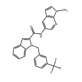 Cn1ccc2cc(NC(=O)c3cc4ccccc4n3Cc3cccc(C(F)(F)F)c3)cnc21